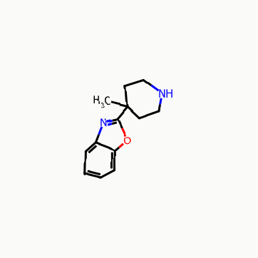 CC1(c2nc3ccccc3o2)CCNCC1